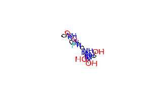 CC(C)(O)c1cccc(N2c3nc(Nc4ccc(N5CCN(C(=O)c6cc(Cc7n[nH]c(=O)c8ccccc78)ccc6F)CC5)cc4)ncc3C(O)N2CCO)n1